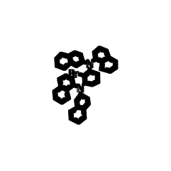 Brc1c(N(c2ccc3ccccc3c2)c2cccc3ccccc23)cccc1N(c1ccc2ccccc2c1)c1cccc2ccccc12